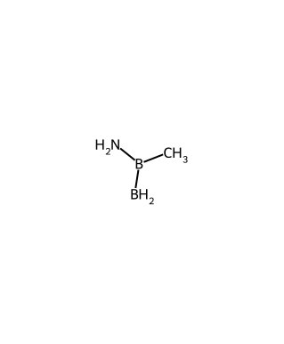 BB(C)N